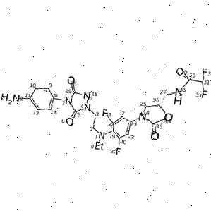 CCN(CCn1c(=O)n(-c2ccc(N)cc2)c(=O)n1C)c1c(F)cc(N2C[C@H](CNC(=O)C(F)F)OC2=O)cc1F